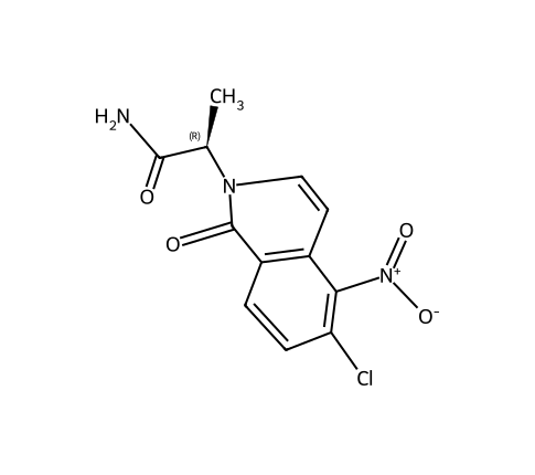 C[C@H](C(N)=O)n1ccc2c([N+](=O)[O-])c(Cl)ccc2c1=O